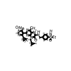 CCS(=N)(=O)c1ccc(CNc2nc3c(C)nc(-c4c(OC)ncnc4C4CC4)nc3n([C@@H](C)C3CC3)c2=O)cc1